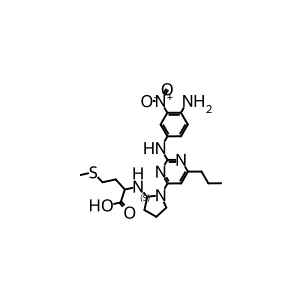 CCCc1cc(N2CCC[C@H]2NC(CCSC)C(=O)O)nc(Nc2ccc(N)c([N+](=O)[O-])c2)n1